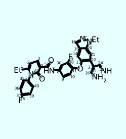 CCc1ccc(C(=O)Nc2ccc(Oc3cc4cnn(CC)c4cc3/C(C=N)=C/N)c(F)c2)c(=O)n1-c1ccc(F)cc1